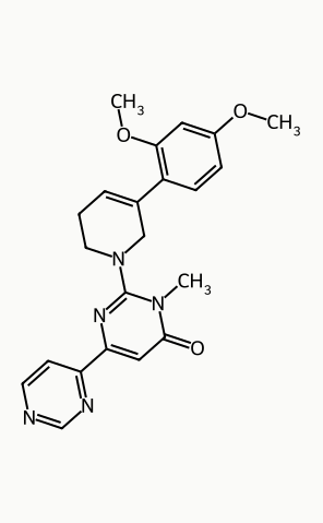 COc1ccc(C2=CCCN(c3nc(-c4ccncn4)cc(=O)n3C)C2)c(OC)c1